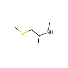 CNC(C)CSC